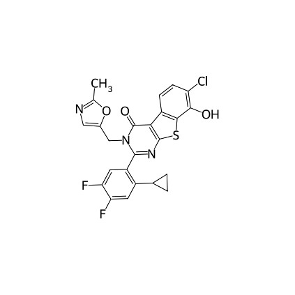 Cc1ncc(Cn2c(-c3cc(F)c(F)cc3C3CC3)nc3sc4c(O)c(Cl)ccc4c3c2=O)o1